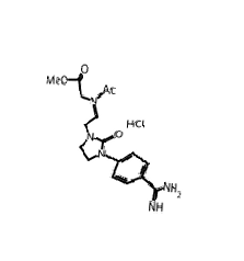 COC(=O)CN(CCN1CCN(c2ccc(C(=N)N)cc2)C1=O)C(C)=O.Cl